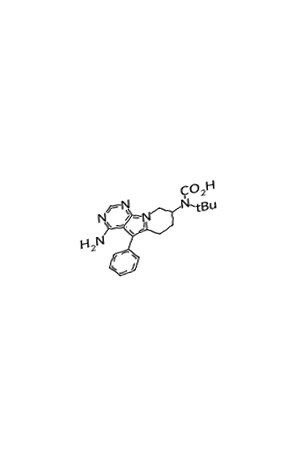 CC(C)(C)N(C(=O)O)C1CCc2c(-c3ccccc3)c3c(N)ncnc3n2C1